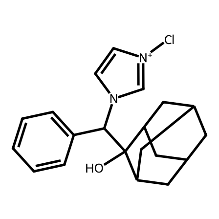 OC1(C(c2ccccc2)n2cc[n+](Cl)c2)C2CC3CC(C2)CC1C3